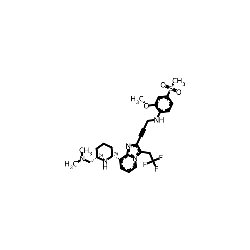 COc1cc(S(C)(=O)=O)ccc1NCC#Cc1nc2c([C@H]3CCC[C@@H](CN(C)C)N3)cccn2c1CC(F)(F)F